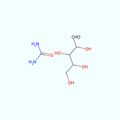 NC(N)=O.O=CC(O)C(O)C(O)CO